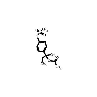 CCC(C)(OC(C)=O)c1ccc(OS(C)(=O)=O)cc1